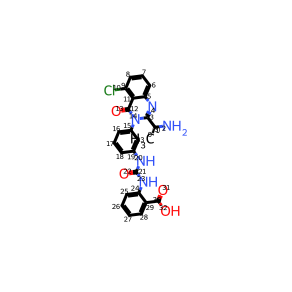 C[C@H](N)c1nc2cccc(Cl)c2c(=O)n1-c1cccc(NC(=O)Nc2ccccc2C(=O)O)c1